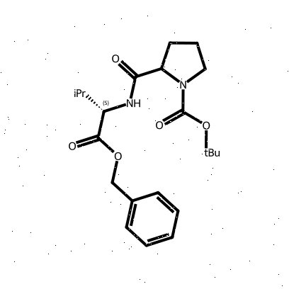 CC(C)[C@H](NC(=O)C1CCCN1C(=O)OC(C)(C)C)C(=O)OCc1ccccc1